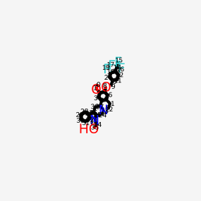 COc1cc2c(cc1OCc1ccc(C(F)(F)F)c(F)c1)CCN1Cc3c(c4ccccc4n3CO)CC21